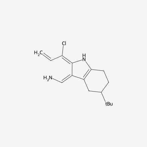 C=C/C(Cl)=c1/[nH]c2c(/c1=C/N)CC(C(C)(C)C)CC2